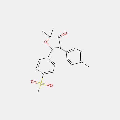 Cc1ccc(C2=C(c3ccc(S(C)(=O)=O)cc3)OC(C)(C)C2=O)cc1